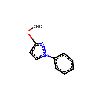 O=COc1ccn(-c2ccccc2)n1